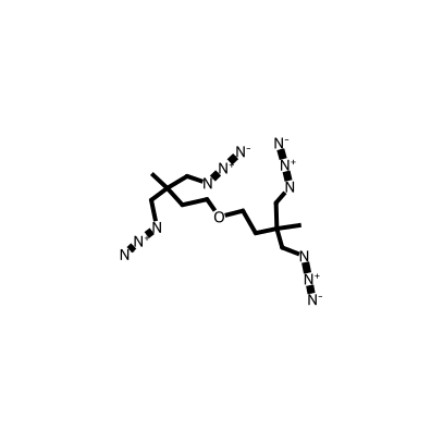 CC(CCOCCC(C)(CN=[N+]=[N-])CN=[N+]=[N-])(CN=[N+]=[N-])CN=[N+]=[N-]